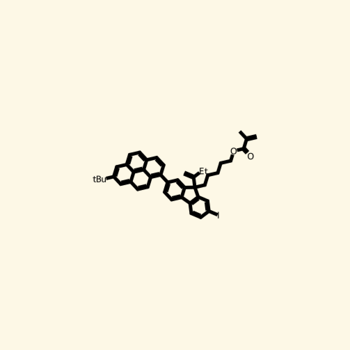 C=C(C)C(=O)OCCCCCC1(C(=C)CC)c2cc(I)ccc2-c2ccc(-c3ccc4ccc5cc(C(C)(C)C)cc6ccc3c4c56)cc21